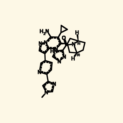 Cn1cnc(-c2ccc(-c3cnn4c(N)c(C5CC5)c([C@@H]5C[C@H]6CC[C@@H](C5)N6C(=O)c5nnc[nH]5)nc34)cn2)c1